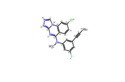 CN(c1cc(F)cc(C#CC(C)(C)C)c1)c1nc2nncn2c2cc(Cl)ccc12